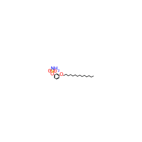 CCCCCCCCCCCCCCOc1cccc(OS(N)(=O)=O)c1